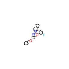 Fc1ccc([C@H]2c3ccccc3CCN2C2=NC3(CO2)CC(OCc2ccccc2)C3)cc1